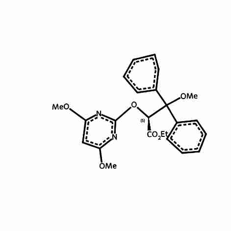 CCOC(=O)[C@@H](Oc1nc(OC)cc(OC)n1)C(OC)(c1ccccc1)c1ccccc1